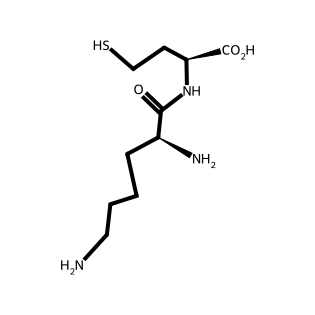 NCCCC[C@H](N)C(=O)N[C@@H](CCS)C(=O)O